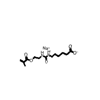 C=C(C)C(=O)OCCNC(=O)NCCCCCC(=O)[O-].[Na+]